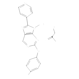 CCC(=O)O.Cn1c(-c2ccncc2)nc2cnc(Nc3ccc(Cl)cc3)nc21